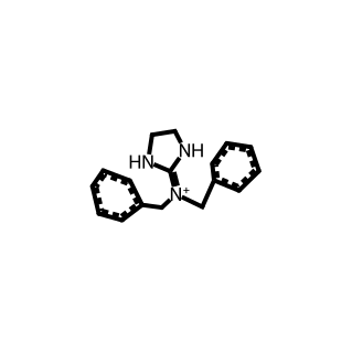 c1ccc(C[N+](Cc2ccccc2)=C2NCCN2)cc1